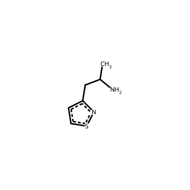 CC(N)Cc1ccsn1